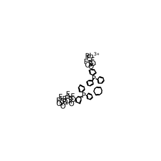 C1=C\CC/C=C\CC/1.O=S(=O)([O-])C(F)(F)F.O=S(=O)([O-])C(F)(F)F.O=S(=O)([O-])C(F)(F)F.[Rh+3].c1ccc(P(c2ccccc2)c2ccccc2)cc1.c1ccc(P(c2ccccc2)c2ccccc2)cc1